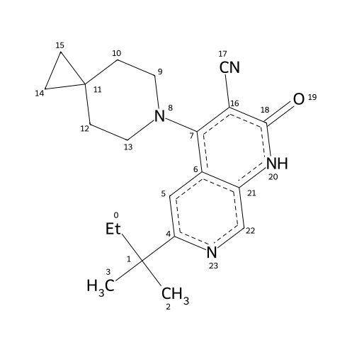 CCC(C)(C)c1cc2c(N3CCC4(CC3)CC4)c(C#N)c(=O)[nH]c2cn1